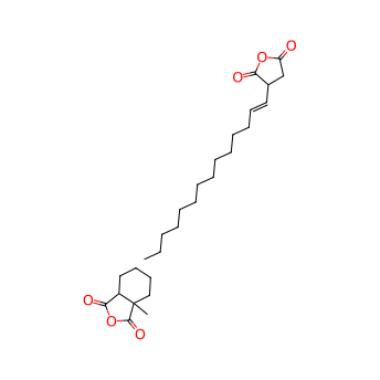 CC12CCCCC1C(=O)OC2=O.CCCCCCCCCCCCC=CC1CC(=O)OC1=O